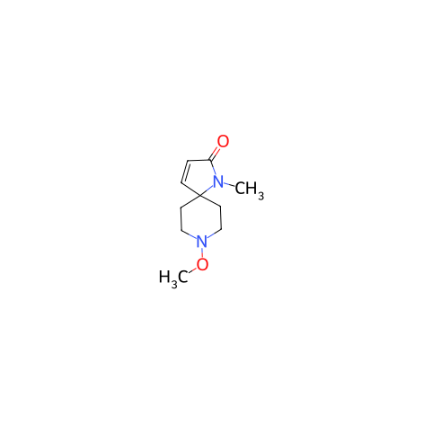 CON1CCC2(C=CC(=O)N2C)CC1